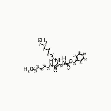 CCCCCCCCNC(CNC(=O)OCc1ccccc1)C(=O)NCCCCCC